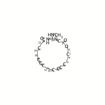 CN1CC(=O)OCCCCCCCC/C=C/CCCCCCCC(=O)NC1=N